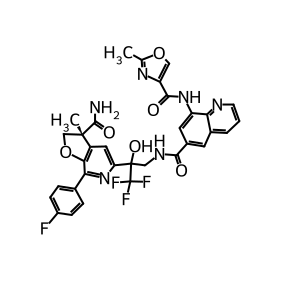 Cc1nc(C(=O)Nc2cc(C(=O)NCC(O)(c3cc4c(c(-c5ccc(F)cc5)n3)OC[C@]4(C)C(N)=O)C(F)(F)F)cc3cccnc23)co1